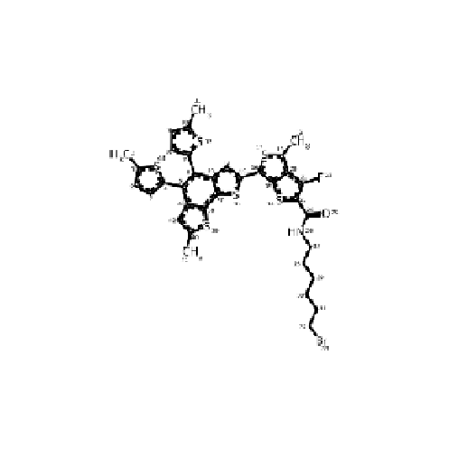 Cc1ccc(-c2c(-c3ccc(C)s3)c3cc(-c4sc(C)c5c(F)c(C(=O)NCCCCCCBr)sc45)sc3c3sc(C)cc23)s1